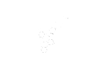 Cl.Cl.NC[C@H]1CC[C@H](C(=O)NC(Cc2cccc(OCc3ccccc3)c2)C(=O)Nc2cccnc2)CC1